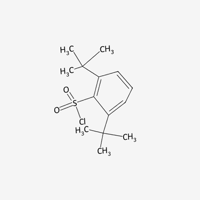 CC(C)(C)c1cccc(C(C)(C)C)c1S(=O)(=O)Cl